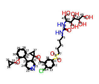 O=C(NCCCCCS(=O)(=O)c1ccc(Cl)c(COC2(c3cnccc3-c3ccccc3OC3CC3)CC2)c1)NC(CO)C(O)C(O)C(O)CO